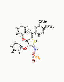 COc1ccc(C(C#N)=C2SC(=NO[PH2]=O)C(Oc3ccccc3)=C2Oc2ccccc2)cc1OC